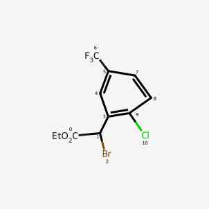 CCOC(=O)C(Br)c1cc(C(F)(F)F)ccc1Cl